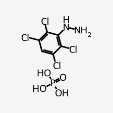 NNc1c(Cl)c(Cl)cc(Cl)c1Cl.O=P(O)(O)O